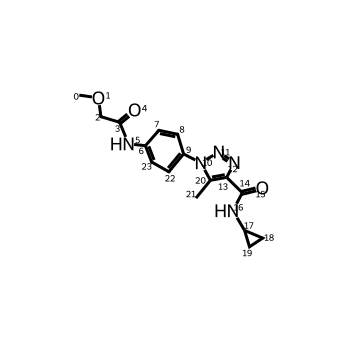 COCC(=O)Nc1ccc(-n2nnc(C(=O)NC3CC3)c2C)cc1